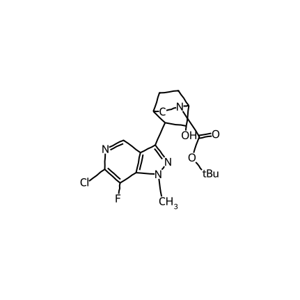 Cn1nc(C2C3CCC(C2O)N(C(=O)OC(C)(C)C)C3)c2cnc(Cl)c(F)c21